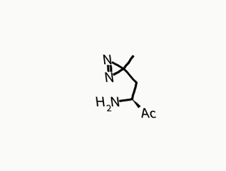 CC(=O)[C@@H](N)CC1(C)N=N1